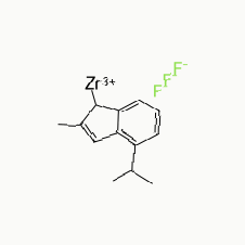 CC1=Cc2c(C(C)C)cccc2[CH]1[Zr+3].[F-].[F-].[F-]